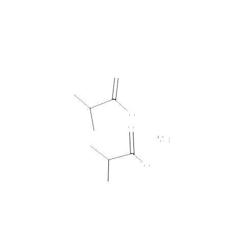 CC(C)C(=O)[O-].CC(C)C(=O)[O-].[Mg+2]